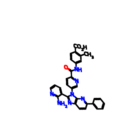 Cc1cc(NC(=O)c2ccc(-n3c(-c4cccnc4N)nc4ccc(-c5ccccc5)nc43)cn2)ccc1C(=O)O